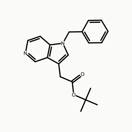 CC(C)(C)OC(=O)Cc1cn(Cc2ccccc2)c2ccncc12